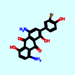 Nc1ccc(O)c2c1C(=O)c1c(O)c(-c3ccc(O)c(Br)c3)cc(N)c1C2=O